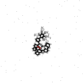 Bc1c(B)c(B)c(-c2cccc(-c3nc(-n4c5ccccc5c5ccc6oc7c8ccccc8c8ccccc8c7c6c54)nc4c3ccc3ccccc34)c2)c(B)c1B